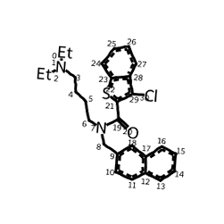 CCN(CC)CCCCN(Cc1ccc2ccccc2c1)C(=O)c1sc2ccccc2c1Cl